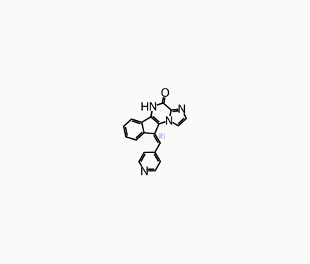 O=c1[nH]c2c3ccccc3/c(=C\c3ccncc3)c2n2ccnc12